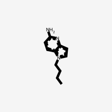 CCCCn1ccc2nc(N)ccc21